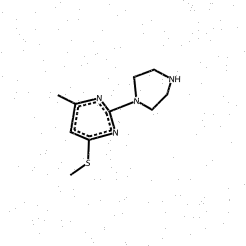 CSc1cc(C)nc(N2CCNCC2)n1